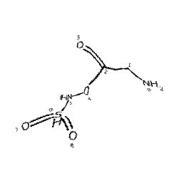 NCC(=O)ON[SH](=O)=O